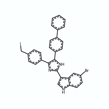 Brc1ccc2[nH]cc(-c3nc(-c4ccc(CI)cc4)c(-c4ccc(-c5ccccc5)cc4)[nH]3)c2c1